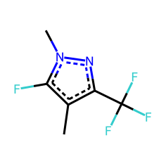 Cc1c(C(F)(F)F)nn(C)c1F